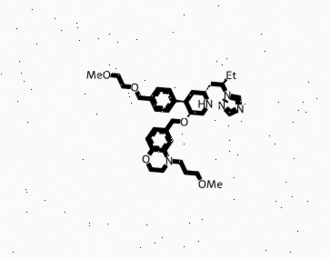 CC[C@H](C[C@H]1C[C@H](c2ccc(COCCOC)cc2)[C@@H](OCc2ccc3c(c2)N(CCCOC)CCO3)CN1)n1cncn1